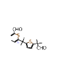 C=C(C=O)S/C(=C\C)C(C)(C)c1ccc(C(C)(C)C=O)s1